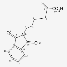 C=C(CCCCN1C(=O)c2ccccc2C1=O)C(=O)O